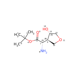 CC(C)(C)OC(=O)[C@@H](N)[C@@H]1COC[C@H]1O